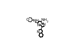 Nc1cc(CNC2CCOCC2)nc2c(-c3cnc4ccccc4c3)cnn12